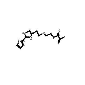 C=C(C)C(=O)SCCSCCC1CSC(c2ccco2)S1